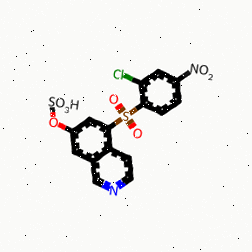 O=[N+]([O-])c1ccc(S(=O)(=O)c2cc(OS(=O)(=O)O)cc3cnccc23)c(Cl)c1